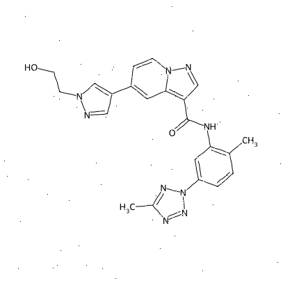 Cc1nnn(-c2ccc(C)c(NC(=O)c3cnn4ccc(-c5cnn(CCO)c5)cc34)c2)n1